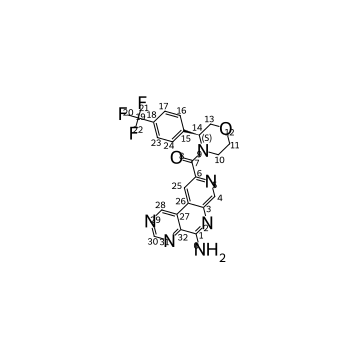 Nc1nc2cnc(C(=O)N3CCOC[C@@H]3c3ccc(C(F)(F)F)cc3)cc2c2cncnc12